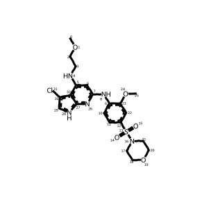 COCCNc1cc(Nc2ccc(S(=O)(=O)N3CCOCC3)cc2OC)nc2[nH]cc(Cl)c12